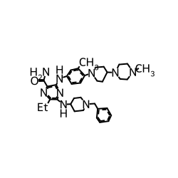 CCc1nc(C(N)=O)c(Nc2ccc(N3CCC(N4CCN(C)CC4)CC3)c(C)c2)nc1NC1CCN(Cc2ccccc2)CC1